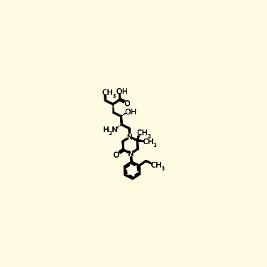 CCc1ccccc1N1CC(C)(C)N(C[C@H](N)[C@@H](O)C[C@@H](CC)C(=O)O)CC1=O